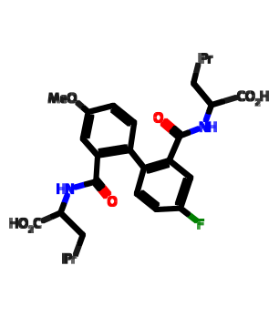 COc1ccc(-c2ccc(F)cc2C(=O)NC(CC(C)C)C(=O)O)c(C(=O)NC(CC(C)C)C(=O)O)c1